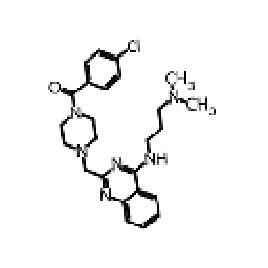 CN(C)CCCNc1nc(CN2CCN(C(=O)c3ccc(Cl)cc3)CC2)nc2ccccc12